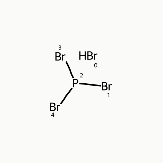 Br.BrP(Br)Br